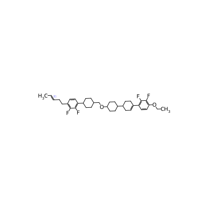 C/C=C/CCc1ccc(C2CCC(COC3CCC(C4CC=C(c5ccc(OCC)c(F)c5F)CC4)CC3)CC2)c(F)c1F